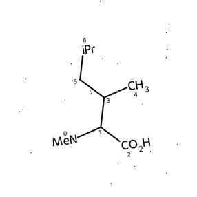 CNC(C(=O)O)C(C)CC(C)C